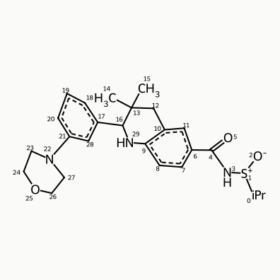 CC(C)[S+]([O-])NC(=O)c1ccc2c(c1)CC(C)(C)C(c1cccc(N3CCOCC3)c1)N2